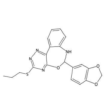 CCCSc1nnc2c(n1)OC(c1ccc3c(c1)OCO3)Nc1ccccc1-2